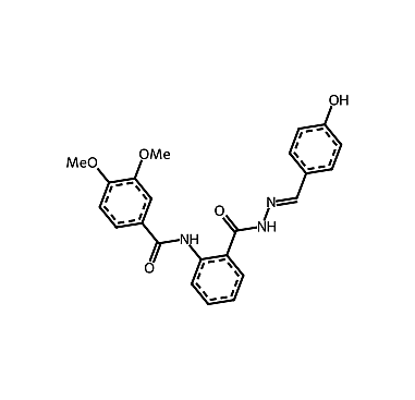 COc1ccc(C(=O)Nc2ccccc2C(=O)NN=Cc2ccc(O)cc2)cc1OC